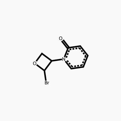 O=c1ccccn1C1COC1Br